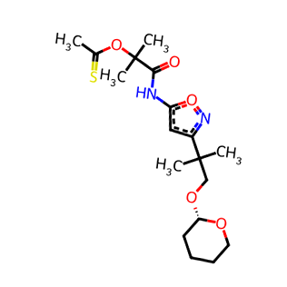 CC(=S)OC(C)(C)C(=O)Nc1cc(C(C)(C)CO[C@H]2CCCCO2)no1